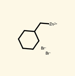 [Br-].[Br-].[Zn+2][CH2]C1CCCCC1